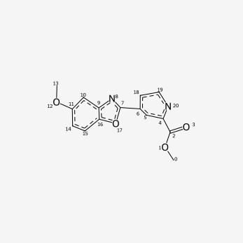 COC(=O)c1cc(-c2nc3cc(OC)ccc3o2)ccn1